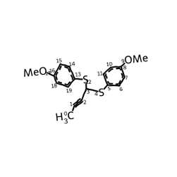 CC#CC(Sc1ccc(OC)cc1)Sc1ccc(OC)cc1